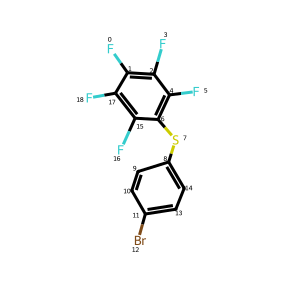 Fc1c(F)c(F)c(Sc2ccc(Br)cc2)c(F)c1F